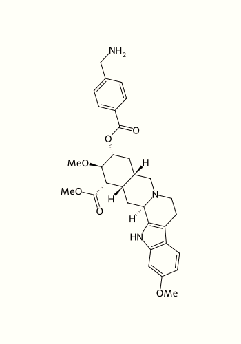 COC(=O)[C@H]1[C@H]2C[C@@H]3c4[nH]c5cc(OC)ccc5c4CCN3C[C@H]2C[C@@H](OC(=O)c2ccc(CN)cc2)[C@@H]1OC